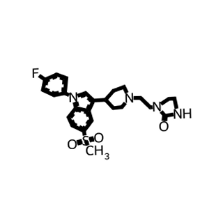 CS(=O)(=O)c1ccc2c(c1)c(C1CCN(CCN3CCNC3=O)CC1)cn2-c1ccc(F)cc1